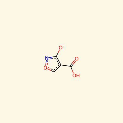 [O]c1nocc1C(=O)O